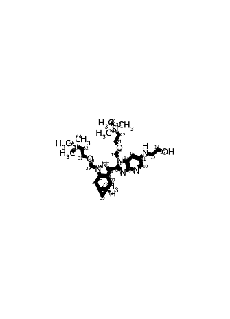 C[C@@]12Cc3c(c(-c4nc5ncc(NCCO)cc5n4COCC[Si](C)(C)C)nn3COCC[Si](C)(C)C)C[C@@H]1C2